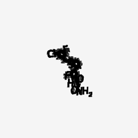 NC(=O)CNC(=O)c1cc(F)cc(-c2cccc3cc(Cc4cc(F)cc(Cl)c4)sc23)c1